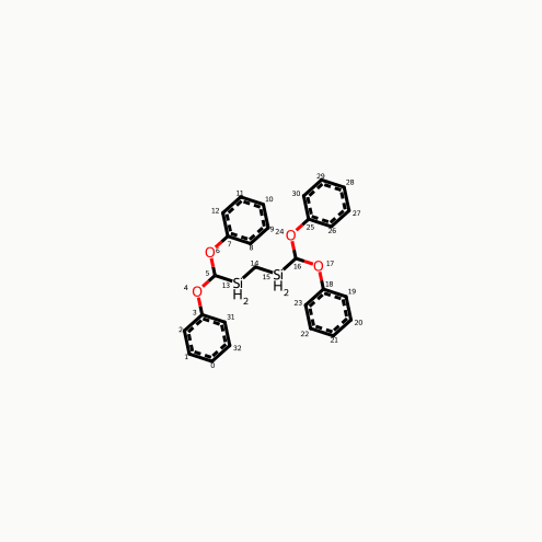 c1ccc(OC(Oc2ccccc2)[SiH2]C[SiH2]C(Oc2ccccc2)Oc2ccccc2)cc1